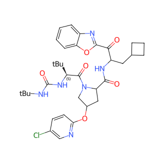 CC(C)(C)NC(=O)N[C@H](C(=O)N1CC(Oc2ccc(Cl)cn2)CC1C(=O)NC(CC1CCC1)C(=O)c1nc2ccccc2o1)C(C)(C)C